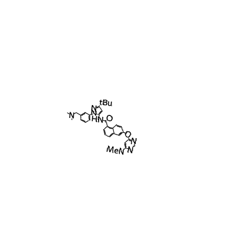 CNc1cc(Oc2ccc3c(C(=O)Nc4cc(C(C)(C)C)nn4-c4cccc(CN(C)C)c4)cccc3c2)ncn1